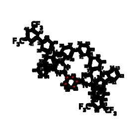 FC(F)(F)c1cc(-c2ccc3c(c2)c2ccccc2n3-c2ccc(-c3cccc(-c4ccc(-n5c6ccccc6c6cc(-c7cc(C(F)(F)F)cc(C(F)(F)F)c7)ccc65)c(-c5nc(-c6ccccc6)nc(-c6ccccc6)n5)c4)c3)cc2-c2nc(-c3ccccc3)nc(-c3ccccc3)n2)cc(C(F)(F)F)c1